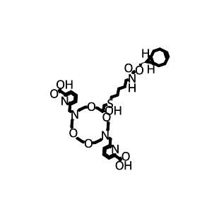 O=C(NCCCCCSC[C@@]1(O)COCCN(Cc2cccc(C(=O)O)n2)CCOCCOCCN(Cc2cccc(C(=O)O)n2)CCO1)OC[C@H]1[C@@H]2CCC#CCC[C@@H]21